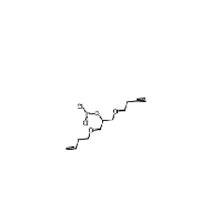 C#CCCOCC(COCCC=C)OP(Cl)Cl